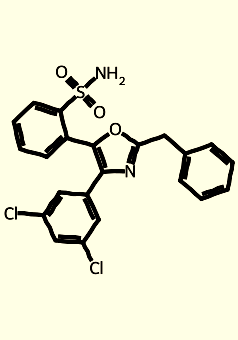 NS(=O)(=O)c1ccccc1-c1oc(Cc2ccccc2)nc1-c1cc(Cl)cc(Cl)c1